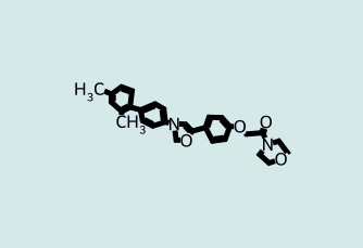 Cc1ccc(-c2ccc(N3C=C(c4ccc(OCC(=O)N5CCOCC5)cc4)OC3)cc2)c(C)c1